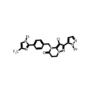 CCn1cc(C(F)(F)F)nc1-c1ccc(CN2C(=O)CCn3nc(-c4ccnn4C(C)C)c(Cl)c32)cc1